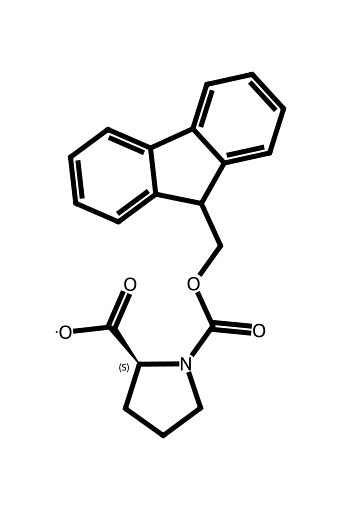 [O]C(=O)[C@@H]1CCCN1C(=O)OCC1c2ccccc2-c2ccccc21